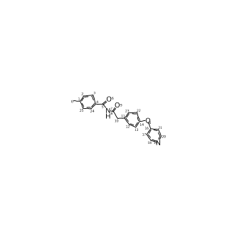 Cc1ccc(C(=O)NC(=O)Cc2ccc(Oc3ccncc3)cc2)cc1